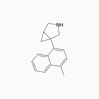 Cc1ccc(C23CNCC2C3)c2ccccc12